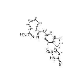 Cc1nnc(Oc2ccc3c(c2)CC[C@H]3C2SC(=O)NC2=O)c2ccccc12